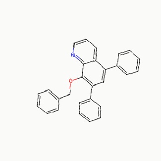 c1ccc(COc2c(-c3ccccc3)cc(-c3ccccc3)c3cccnc23)cc1